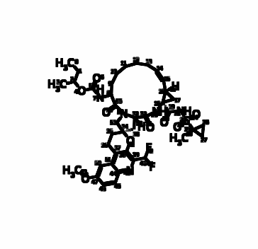 CC[C@H](C)OC(=O)N[C@H]1CCCCC/C=C\[C@@H]2C[C@@]2(C(=O)NS(=O)(=O)C2(C)CC2)NC(=O)[C@@H]2C[C@]3(CCc4c(c(C(F)F)nc5ccc(OC)cc45)O3)CN2C1=O